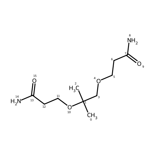 CC(C)(COCCC(N)=O)OCCC(N)=O